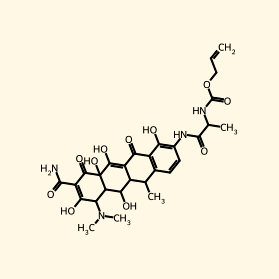 C=CCOC(=O)NC(C)C(=O)Nc1ccc2c(c1O)C(=O)C1=C(O)C3(O)C(=O)C(C(N)=O)=C(O)C(N(C)C)C3C(O)C1C2C